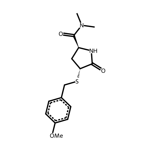 COc1ccc(CS[C@@H]2C[C@@H](C(=O)N(C)C)NC2=O)cc1